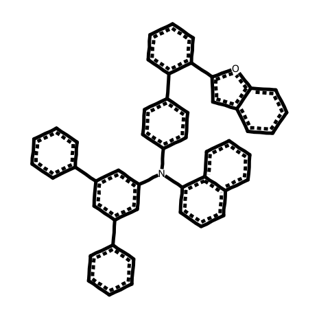 c1ccc(-c2cc(-c3ccccc3)cc(N(c3ccc(-c4ccccc4-c4cc5ccccc5o4)cc3)c3cccc4ccccc34)c2)cc1